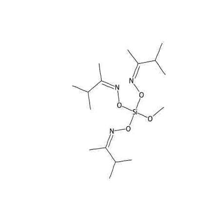 CO[Si](ON=C(C)C(C)C)(ON=C(C)C(C)C)ON=C(C)C(C)C